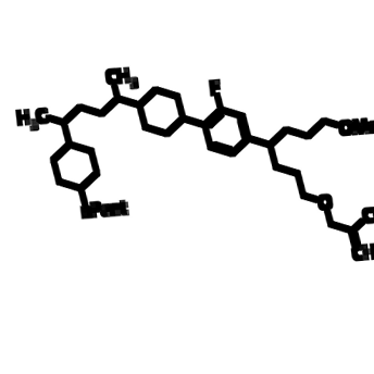 C=C(C)COCCCC(CCCOC)c1ccc(C2CCC(C(C)CCC(C)C3CCC(CCCCC)CC3)CC2)c(F)c1